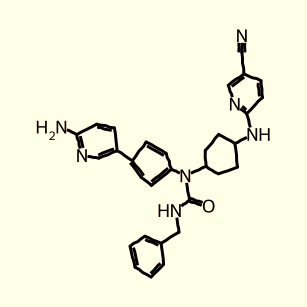 N#Cc1ccc(NC2CCC(N(C(=O)NCc3ccccc3)c3ccc(-c4ccc(N)nc4)cc3)CC2)nc1